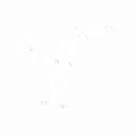 N=C(N)c1ccc(-c2nc3cc(C(=O)NCCC(=O)O)ccc3n2CCC(=O)N2CCSCC2)cc1